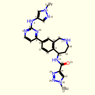 CC(C)n1cc(Nc2nccc(-c3ccc4c(c3)CNCCC4NC(=O)c3cn(C(C)(C)C)nn3)n2)cn1